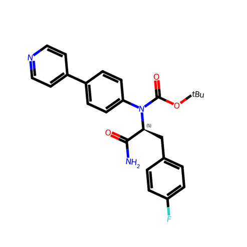 CC(C)(C)OC(=O)N(c1ccc(-c2ccncc2)cc1)[C@@H](Cc1ccc(F)cc1)C(N)=O